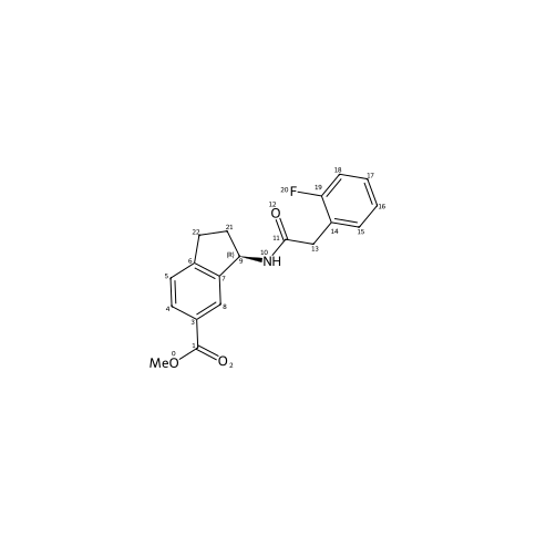 COC(=O)c1ccc2c(c1)[C@H](NC(=O)Cc1ccccc1F)CC2